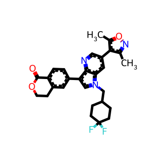 Cc1noc(C)c1-c1cnc2c(-c3ccc4c(c3)CCOC4=O)cn(CC3CCC(F)(F)CC3)c2c1